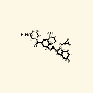 CN1CCn2c(-c3cc4cc(F)ccc4n3CC3CC3)nc3cc(C(=O)N4CCC[C@@H](N)C4)cc1c32